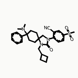 CN(C)C1(c2ccccc2)CCC2(CC1)CN(c1ccc(S(C)(=O)=O)cc1C#N)C(=O)N2CC1CCC1